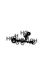 O=CN(O)CCCCCC(NC(=O)C1COC(c2ccccc2O)=N1)C(=O)OCCC(=O)NC1CCCCN(O)C1=O